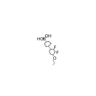 CCCOc1ccc(-c2ccc(B(O)O)cc2)c(F)c1F